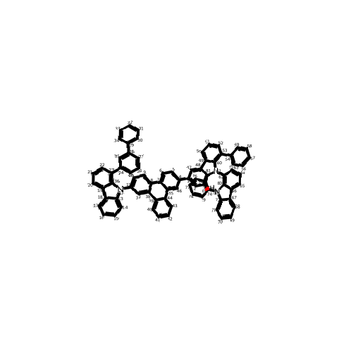 Cc1cc(-c2ccc3c4ccc(-n5c6ccccc6c6cccc(-c7cccc(-c8ccccc8)c7)c65)cc4c4ccccc4c3c2)cc2c3cccc(-c4ccccc4)c3n(-c3cccc4c5ccccc5n(-c5ccccc5)c34)c12